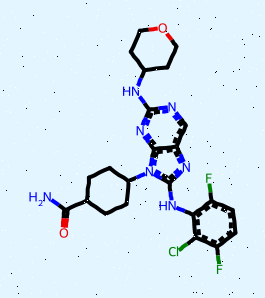 NC(=O)C1CCC(n2c(Nc3c(F)ccc(F)c3Cl)nc3cnc(NC4CCOCC4)nc32)CC1